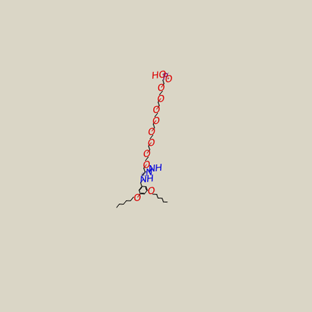 CCCCCCOc1cc(CN/C=C(/COCCOCCOCCOCCOCCOCCOCCOCCP(C)(=O)O)N=N)cc(OCCCCCC)c1